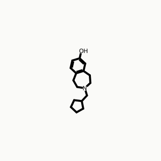 Oc1ccc2c(c1)CCN(CC1CCCC1)CC2